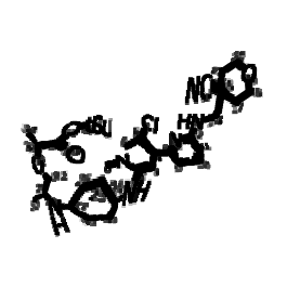 C=N/C(=C\C(=C(/C)Cl)c1cccc(NCC2(C#N)CCOCC2)n1)N[C@H]1CC[C@H](N[C@@H](C)CO[C@@H](C)C(=O)OC(C)(C)C)CC1